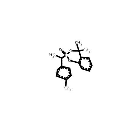 Cc1ccc(C(C)P2(=O)Oc3ccccc3C(C)(C)O2)cc1